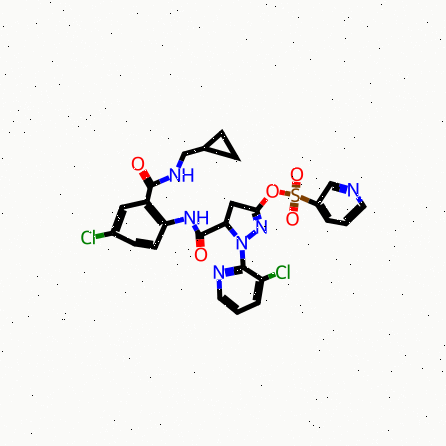 O=C(NCC1CC1)c1cc(Cl)ccc1NC(=O)C1CC(OS(=O)(=O)c2cccnc2)=NN1c1ncccc1Cl